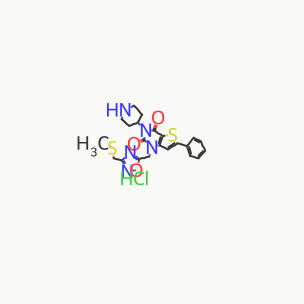 CSCc1noc(Cn2c(=O)n(C3CCNCC3)c(=O)c3sc(-c4ccccc4)cc32)n1.Cl